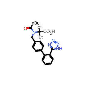 CCCCC(=O)N(Cc1ccc(-c2ccccc2-c2nnn[nH]2)cc1)C(CC)(CC)C(=O)O